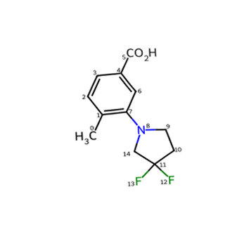 Cc1ccc(C(=O)O)cc1N1CCC(F)(F)C1